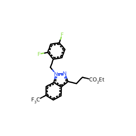 CCOC(=O)CCc1nn(Cc2ccc(F)cc2F)c2cc(C(F)(F)F)ccc12